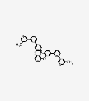 Cc1cncc(-c2cccc(-c3ccc4c(c3)Oc3cccc5c3P4(=O)c3ccc(-c4cccc(-c6cncc(C)c6)c4)cc3O5)c2)c1